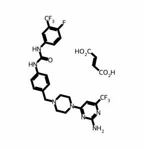 Nc1nc(N2CCN(Cc3ccc(NC(=O)Nc4ccc(F)c(C(F)(F)F)c4)cc3)CC2)cc(C(F)(F)F)n1.O=C(O)/C=C/C(=O)O